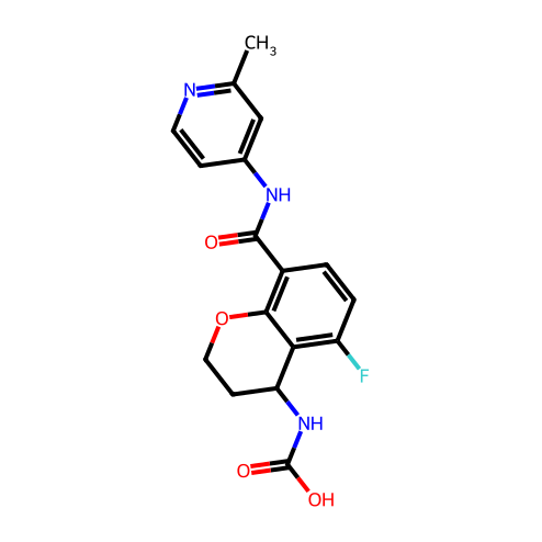 Cc1cc(NC(=O)c2ccc(F)c3c2OCCC3NC(=O)O)ccn1